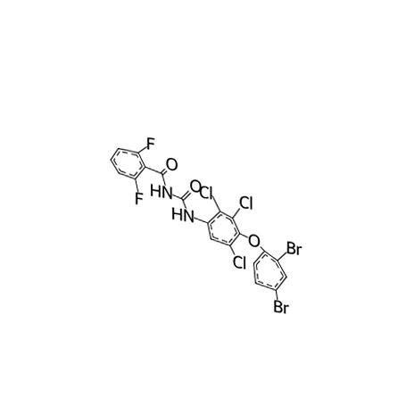 O=C(NC(=O)c1c(F)cccc1F)Nc1cc(Cl)c(Oc2ccc(Br)cc2Br)c(Cl)c1Cl